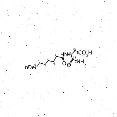 CCCCCCCCCCCCCCCC(=O)N[C@@H](CC(=O)O)C(N)=O